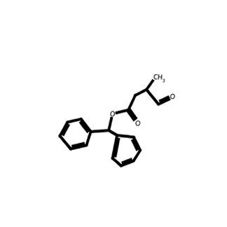 CC(C=O)CC(=O)OC(c1ccccc1)c1ccccc1